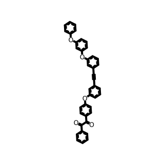 O=C(C(=O)c1ccc(Oc2cccc(C#Cc3cccc(Oc4cccc(Oc5ccccc5)c4)c3)c2)cc1)c1ccccc1